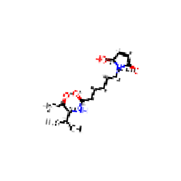 CC(=O)C(NC(=O)CCCCCN1C(=O)C=CC1O)C(C)C